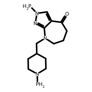 O=C1CCCN(CC2CCN(P)CC2)c2nn(P)cc21